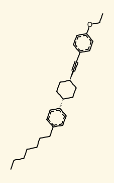 CCCCCCCc1ccc([C@H]2CC[C@H](C#Cc3ccc(OCC)cc3)CC2)cc1